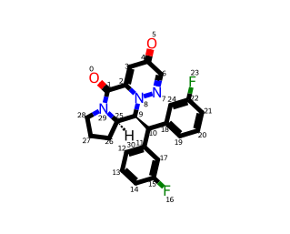 O=C1c2[c]c(=O)cnn2[C@@H](C(c2cccc(F)c2)c2cccc(F)c2)[C@H]2CCCN12